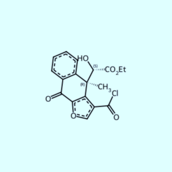 CCOC(=O)[C@@H](O)[C@]1(C)c2ccccc2C(=O)c2occ(C(=O)Cl)c21